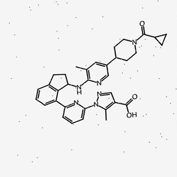 Cc1cc(C2CCN(C(=O)C3CC3)CC2)cnc1NC1CCc2cccc(-c3cccc(-n4ncc(C(=O)O)c4C)n3)c21